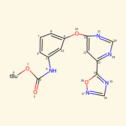 CC(C)(C)OC(=O)Nc1cccc(Oc2cc(-c3ncno3)ncn2)c1